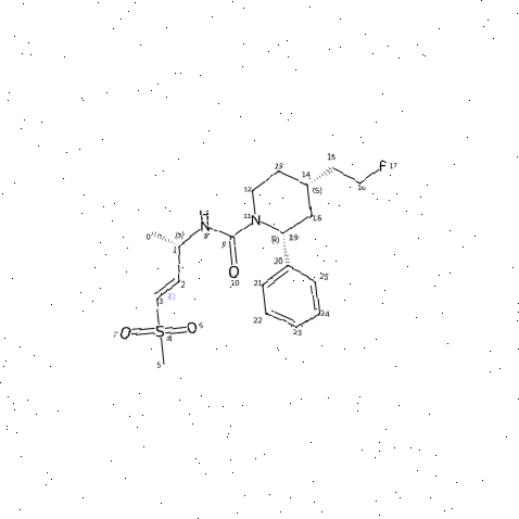 C[C@@H](/C=C/S(C)(=O)=O)NC(=O)N1CC[C@H](CCF)C[C@@H]1c1ccccc1